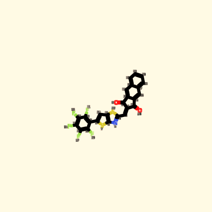 O=C1C(=Cc2nc3sc(-c4c(F)c(F)c(F)c(F)c4F)cc3s2)C(=O)c2cc3ccccc3cc21